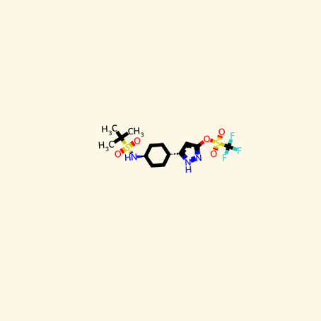 CC(C)(C)S(=O)(=O)N[C@H]1CC[C@H](c2cc(OS(=O)(=O)C(F)(F)F)n[nH]2)CC1